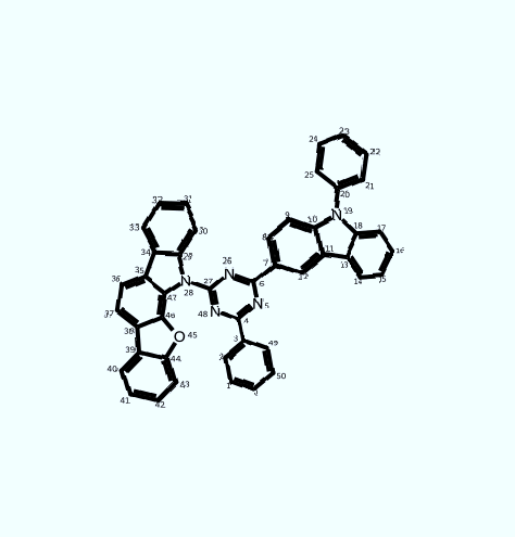 c1ccc(-c2nc(-c3ccc4c(c3)c3ccccc3n4-c3ccccc3)nc(-n3c4ccccc4c4ccc5c6ccccc6oc5c43)n2)cc1